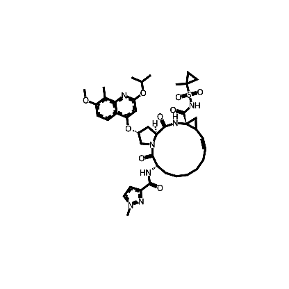 COc1ccc2c(O[C@@H]3C[C@H]4C(=O)N[C@]5(C(=O)NS(=O)(=O)C6(C)CC6)CC5/C=C\CCCCC[C@H](NC(=O)c5ccn(C)n5)C(=O)N4C3)cc(OC(C)C)nc2c1C